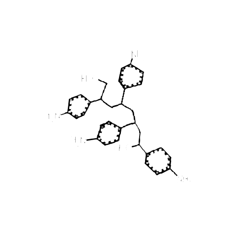 CCC(CC(CC(CC(C)c1ccc(N)cc1)c1ccc(N)cc1)c1ccc(N)cc1)c1ccc(N)cc1